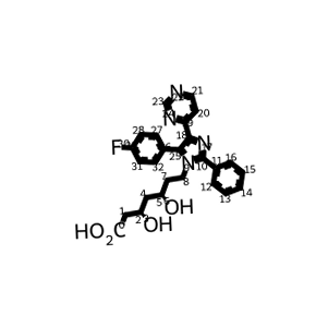 O=C(O)C[C@H](O)C[C@H](O)CCn1c(-c2ccccc2)nc(-c2ccncn2)c1-c1ccc(F)cc1